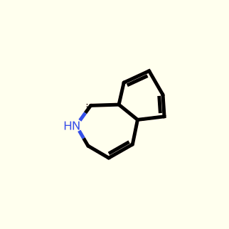 [C]1NCC=CC2C=CC=CC12